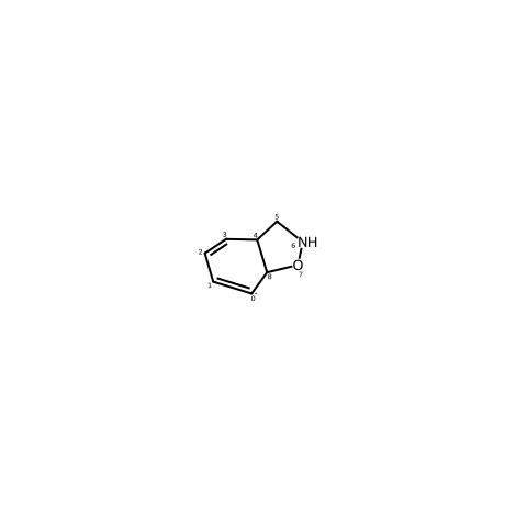 [C]1=CC=CC2CNOC12